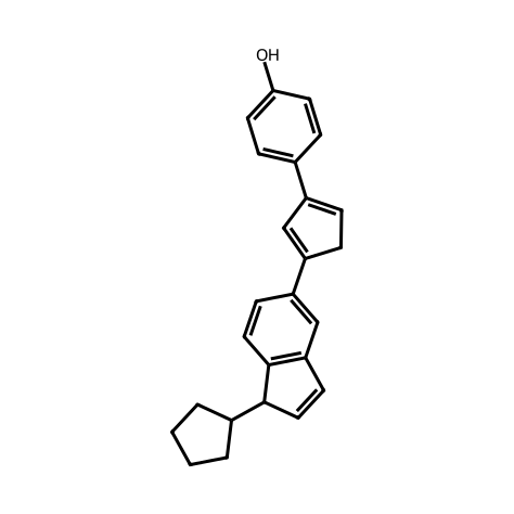 Oc1ccc(C2=CCC(c3ccc4c(c3)C=CC4C3CCCC3)=C2)cc1